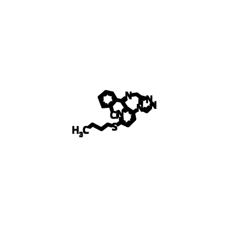 CCCCSc1ccc2c(n1)C(c1ccccc1Cl)=NCc1nncn1-2